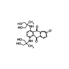 CC(CO)(CO)Nc1ccc(NC(C)(CO)CO)c2c1C(=O)c1cc[n+]([O-])cc1C2=O